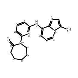 N#Cc1cnc2c(Nc3cccc(N4CCCCCC4=O)n3)ccnn12